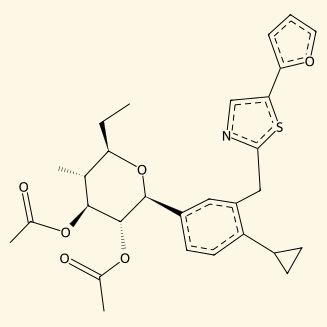 CC[C@H]1O[C@@H](c2ccc(C3CC3)c(Cc3ncc(-c4ccco4)s3)c2)[C@H](OC(C)=O)[C@@H](OC(C)=O)[C@@H]1C